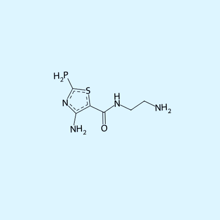 NCCNC(=O)c1sc(P)nc1N